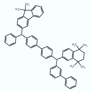 CC1(C)CCC(C)(C)c2cc(N(c3ccc(-c4ccc(N(c5ccccc5)c5ccc6c(c5)-c5ccccc5C6(C)C)cc4)cc3)c3cccc(-c4ccccc4)c3)ccc21